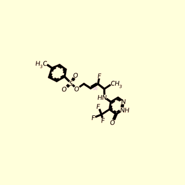 Cc1ccc(S(=O)(=O)OC/C=C(\F)C(C)Nc2cn[nH]c(=O)c2C(F)(F)F)cc1